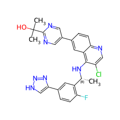 C[C@@H](Nc1c(Cl)cnc2ccc(-c3cnc(C(C)(C)O)nc3)cc12)c1cc(-c2c[nH]nn2)ccc1F